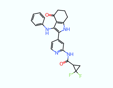 O=C1CCCc2[nH]c(-c3ccnc(NC(=O)C4CC4(F)F)c3)c(Nc3ccccc3)c21